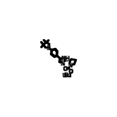 CC(C)(C)OC(=O)N1CCC[C@H]1c1ncc(-c2ccc(B3CC(C)(C)C(C)(C)C3)cc2)[nH]1